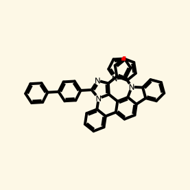 c1ccc(-c2ccc(-c3nc(-c4ccccc4)c4c5c(ccc6c7ccccc7n(-c7ccccn7)c65)c5ccccc5n34)cc2)cc1